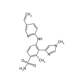 C=Cc1ccc(Nc2ccc(S(N)(=O)=O)c(C)c2-c2cn(C)cn2)nc1